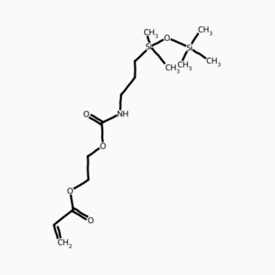 C=CC(=O)OCCOC(=O)NCCC[Si](C)(C)O[Si](C)(C)C